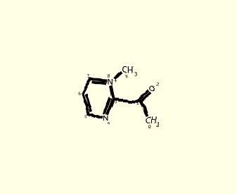 CC(=O)c1nccc[n+]1C